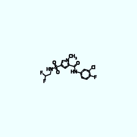 Cn1cc(S(=O)(=O)NCC(F)F)cc1C(=O)Nc1ccc(F)c(Cl)c1